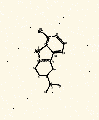 CN(C)C1CCc2[nH]c3c(C#N)cccc3c2C1